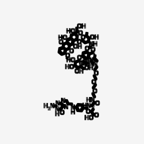 COc1cccc2c1C(=O)c1c(O)c3c(c(O)c1C2=O)C[C@@](O)(C(=O)CO)C[C@@H]3OC1CC(NC(=O)O[C@H](CC2=CN(CCOCCOCCOCCNC(=O)[C@H](CCC(=O)O)NC(=O)c3ccc(NCc4cnc5nc(N)[nH]c(=O)c5n4)cc3)NN2)c2ccc(O[C@@H]3OC(CO)[C@H](O)[C@H](O)C3O)c([N+](=O)[O-])c2)C(O)C(C)O1